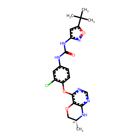 C[C@@H]1COc2c(ncnc2Oc2ccc(NC(=O)Nc3cc(C(C)(C)C)on3)cc2Cl)N1